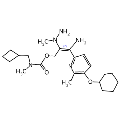 Cc1nc(/C(N)=C(\COC(=O)N(C)CC2CCC2)N(C)N)ccc1OC1CCCCC1